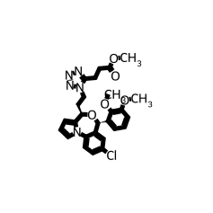 COC(=O)CCc1nnnn1CC[C@H]1O[C@H](c2cccc(OC)c2OC)c2cc(Cl)ccc2-n2cccc21